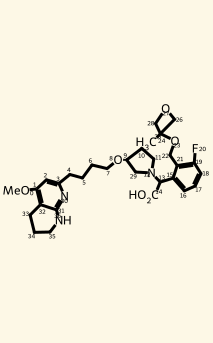 COc1cc(CCCCO[C@@H]2CCN(C(C(=O)O)c3cccc(F)c3COC3(C)COC3)C2)nc2c1CCCN2